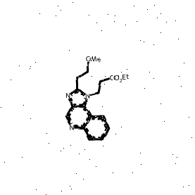 CCOC(=O)CCn1c(CCOC)nc2cnc3ccccc3c21